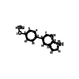 CC(C)(C)Oc1ccc(-c2cnc3[nH]ccc3c2)cc1